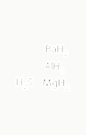 S.[AlH3].[BaH2].[MgH2]